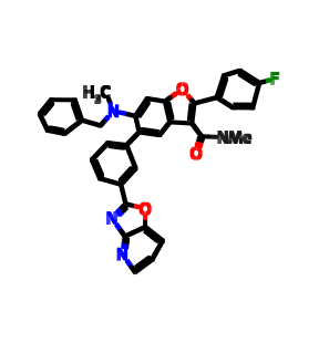 CNC(=O)c1c(-c2ccc(F)cc2)oc2cc(N(C)Cc3ccccc3)c(-c3cccc(-c4nc5ncccc5o4)c3)cc12